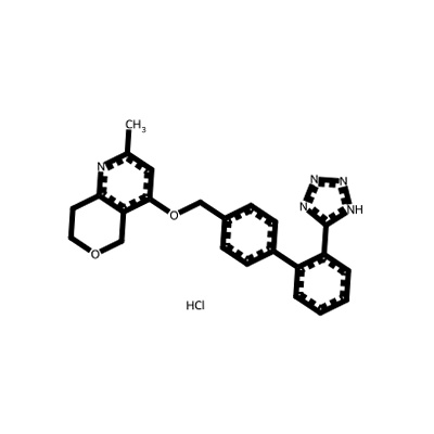 Cc1cc(OCc2ccc(-c3ccccc3-c3nnn[nH]3)cc2)c2c(n1)CCOC2.Cl